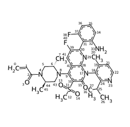 C=CC(=O)N1C[C@H](C)N(c2c(S(C)(=O)=O)c(=O)n(-c3c(C)ccnc3C(C)C)c3nc(-c4c(N)cccc4F)c(F)cc23)C[C@H]1C